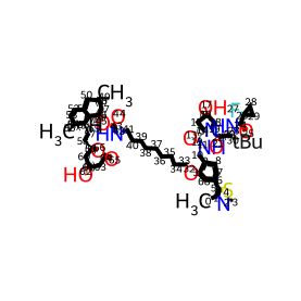 Cc1ncsc1-c1ccc(CNC(=O)[C@@H]2C[C@@H](O)CN2C(=O)[C@@H](NC(=O)C2(F)CC2)C(C)(C)C)c(OCCCCCCCCCNC(=O)O[C@H]2C[C@@H](C)C=C3C=C[C@H](C)[C@H](CC[C@@H]4C[C@@H](O)CC(=O)O4)[C@H]32)c1